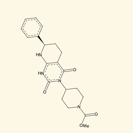 COC(=O)N1CCC(n2c(=O)[nH]c3c(c2=O)CC[C@H](c2ccccc2)N3)CC1